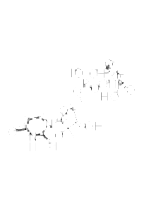 CC1(O)[C@@H](O)[C@@H](COP(=O)(O)OP(=O)(O)O[PH](=O)O)O[C@H]1n1ccc(=O)[nH]c1=S